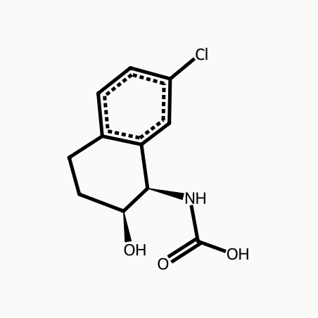 O=C(O)N[C@@H]1c2cc(Cl)ccc2CC[C@@H]1O